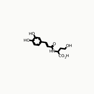 O=C(C=Cc1ccc(O)c(O)c1)NC(CCO)C(=O)O